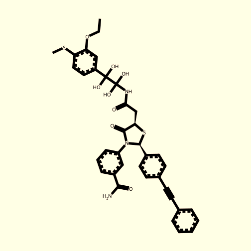 CCOc1cc(C(O)(O)C(O)(O)NC(=O)C[C@H]2S[C@@H](c3ccc(C#Cc4ccccc4)cc3)N(c3cccc(C(N)=O)c3)C2=O)ccc1SC